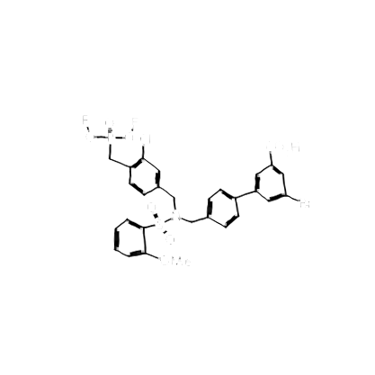 COc1ccccc1S(=O)(=O)N(Cc1ccc(-c2cc(Br)cc(C(=O)O)c2)cc1)Cc1ccc(CP(=O)(OF)OF)c(Cl)c1